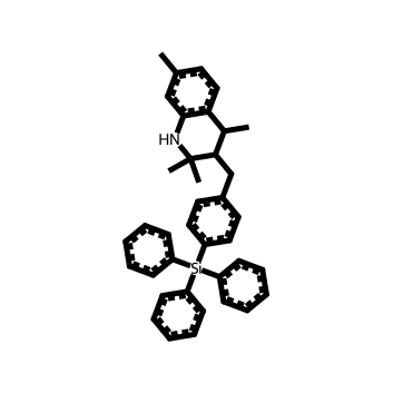 Cc1ccc2c(c1)NC(C)(C)C(Cc1ccc([Si](c3ccccc3)(c3ccccc3)c3ccccc3)cc1)C2C